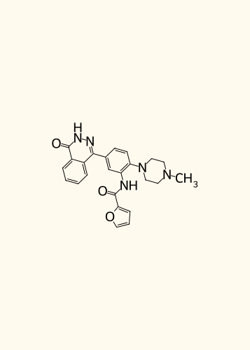 CN1CCN(c2ccc(-c3n[nH]c(=O)c4ccccc34)cc2NC(=O)c2ccco2)CC1